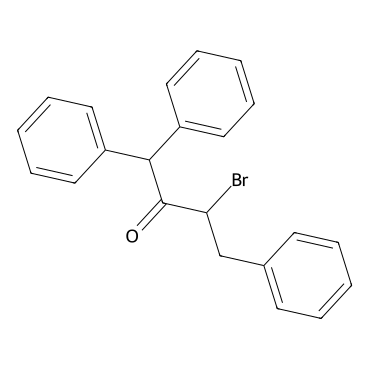 O=C(C(Br)Cc1ccccc1)C(c1ccccc1)c1ccccc1